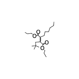 CCCCCCC(C(=O)OCCC)=C(CC(C)(C)C)C(=O)OCCC